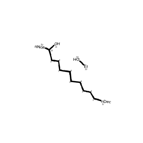 CCCCCCCCCCCCCCCCCCCC(O)CCCCCCCCC.CCO